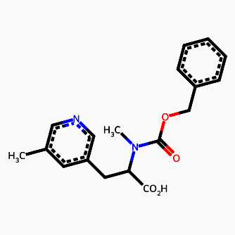 Cc1cncc(CC(C(=O)O)N(C)C(=O)OCc2ccccc2)c1